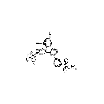 CS(=O)(=O)c1cccc(-c2ccnc(C3CC(C(F)(F)C(F)(F)F)=NN3c3ccc(F)cc3F)c2)c1